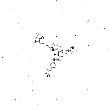 CC(=O)OCc1ccc(NC(=O)[C@H](CCCNC(N)=O)NC(=O)[C@@H](NC(=O)CCCCCN2C(=O)CC(O)C2=O)C(C)C)cc1